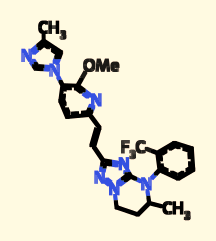 COc1nc(C=Cc2nc3n(n2)CCC(C)N3c2ccccc2C(F)(F)F)ccc1-n1cnc(C)c1